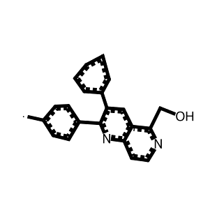 [CH2]c1ccc(-c2nc3ccnc(CO)c3cc2-c2ccccc2)cc1